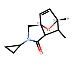 CC1C2C(=O)N(C3CC3)C[C@]23C=C[C@H]1O3